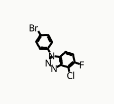 Fc1ccc2c(nnn2-c2ccc(Br)cc2)c1Cl